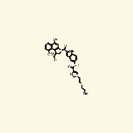 COc1cccc2c(O)cc3c(c12)C(CCl)CN3C(=O)c1cc2cc(NC(=O)c3cn(CCOCCO)nn3)ccc2[nH]1